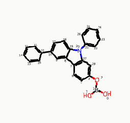 OB(O)Oc1ccc2c3cc(-c4ccccc4)ccc3n(-c3ccccc3)c2c1